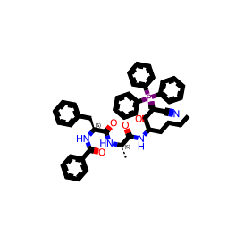 CCCCC(NC(=O)[C@H](C)NC(=O)[C@H](Cc1ccccc1)NC(=O)c1ccccc1)C(=O)C(C#N)=P(c1ccccc1)(c1ccccc1)c1ccccc1